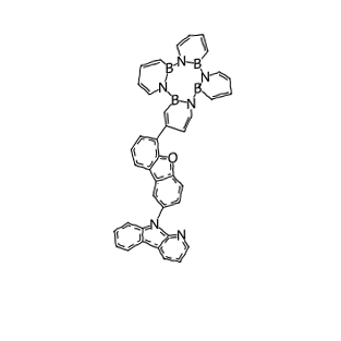 C1=CB2N(C=C1)B1C=CC=CN1B1C=C(c3cccc4c3oc3ccc(-n5c6ccccc6c6cccnc65)cc34)C=CN1B1C=CC=CN21